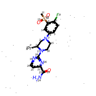 CC(C)C1CN(c2ccc(F)c(S(C)(=O)=O)c2)CCN1c1nccc(C(N)=O)n1